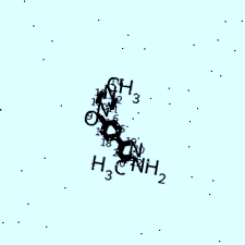 Cc1cc(-c2ccc(C(=O)N3CCN(C)CC3)cc2)cnc1N